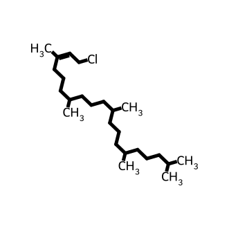 CC(=CCCl)CCCC(C)CCCC(C)CCCC(C)CCCC(C)C